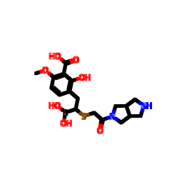 COc1ccc(CC(SCC(=O)N2CC3CNCC3C2)B(O)O)c(O)c1C(=O)O